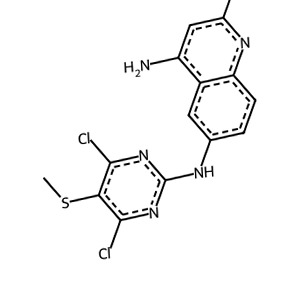 CSc1c(Cl)nc(Nc2ccc3nc(C)cc(N)c3c2)nc1Cl